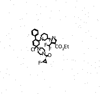 CCOC(=O)c1cnn(C2CCCN(C3=C(c4ccccc4)C=CC(Cl)(N4CCN(C(=O)[C@@H]5C[C@H]5F)CC4)C3)C2)c1C(F)F